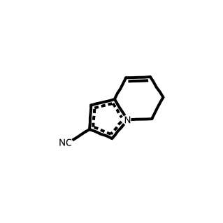 N#Cc1cc2n(c1)CCC=C2